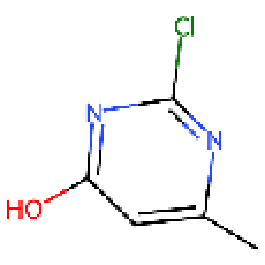 Cc1cc(O)nc(Cl)n1